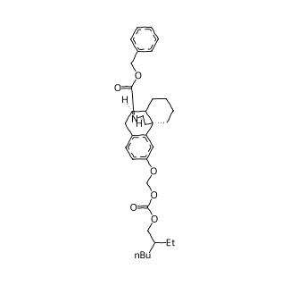 CCCCC(CC)COC(=O)OCOc1ccc2c(c1)[C@]13CCCC[C@@H]1[C@H](C2)N(C(=O)OCc1ccccc1)CC3